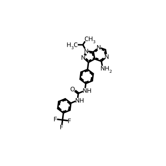 CC(C)n1nc(-c2ccc(NC(=O)Nc3cccc(C(F)(F)F)c3)cc2)c2c(N)ncnc21